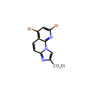 CCOC(=O)c1cn2c(ccc3c(Br)cc(Br)nc32)n1